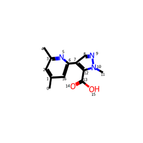 Cc1cc(C)nc(-c2cnn(C)c2C(=O)O)c1